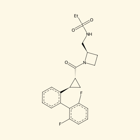 CCS(=O)(=O)NC[C@H]1CCN1C(=O)[C@@H]1C[C@H]1c1ccccc1-c1c(F)cccc1F